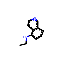 CCNc1cccc2cnccc12